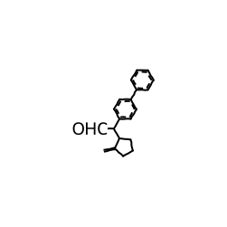 C=C1CCCC1C(C=O)c1ccc(-c2ccccc2)cc1